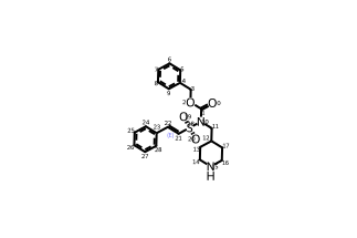 O=C(OCc1ccccc1)N(CC1CCNCC1)S(=O)(=O)/C=C/c1ccccc1